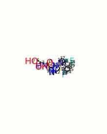 O=C(NCC(O)CO)c1cnn2ccc(N3CCC[C@@H]3c3cc(F)ccc3C(F)(F)F)nc12